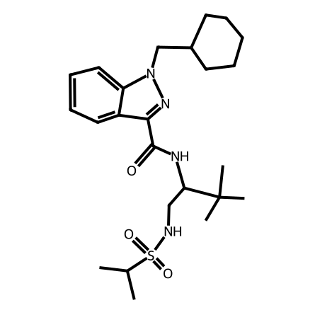 CC(C)S(=O)(=O)NCC(NC(=O)c1nn(CC2CCCCC2)c2ccccc12)C(C)(C)C